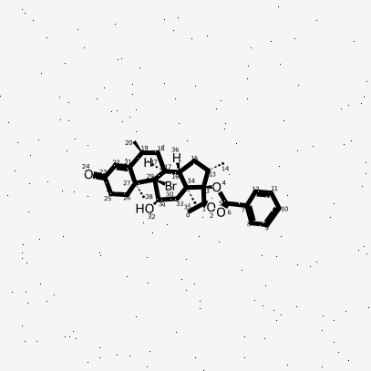 CC(=O)[C@@]1(OC(=O)c2ccccc2)[C@@H](C)C[C@H]2[C@@H]3C[C@H](C)C4=CC(=O)CC[C@]4(C)[C@@]3(Br)[C@@H](O)C[C@@]21C